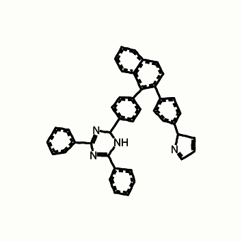 C1=CC(c2ccc(-c3ccc4ccccc4c3-c3ccc(C4N=C(c5ccccc5)N=C(c5ccccc5)N4)cc3)cc2)N=C1